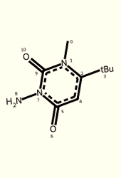 Cn1c(C(C)(C)C)cc(=O)n(N)c1=O